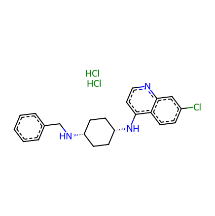 Cl.Cl.Clc1ccc2c(N[C@H]3CC[C@@H](NCc4ccccc4)CC3)ccnc2c1